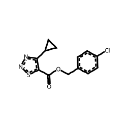 O=C(OCc1ccc(Cl)cc1)c1snnc1C1CC1